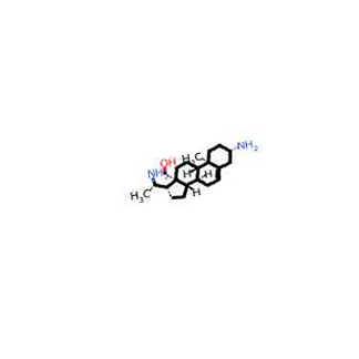 C[C@H](N)[C@H]1CC[C@H]2[C@@H]3CC=C4C[C@@H](N)CC[C@]4(C)[C@H]3CC[C@]12CO